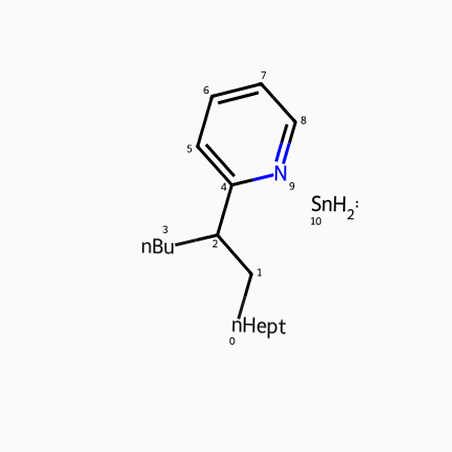 CCCCCCCCC(CCCC)c1ccccn1.[SnH2]